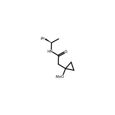 COC1(CC(=O)N[C@H](C)C(C)C)CC1